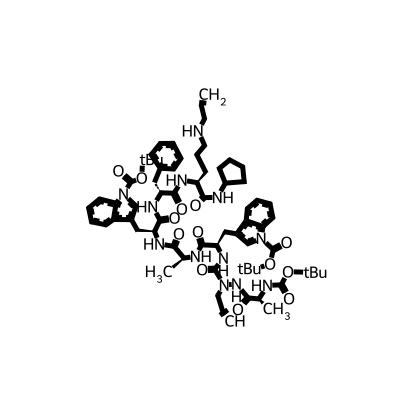 C#CCN(NC(=O)[C@H](C)NC(=O)OC(C)(C)C)C(=O)N[C@H](Cc1cn(C(=O)OC(C)(C)C)c2ccccc12)C(=O)N[C@@H](C)C(=O)N[C@@H](Cc1cn(C(=O)OC(C)(C)C)c2ccccc12)C(=O)N[C@H](Cc1ccccc1)C(=O)N[C@@H](CCCNCC=C)C(=O)NC1CCCC1